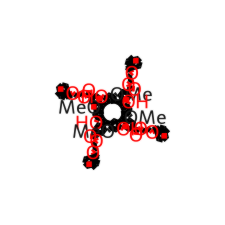 COc1cc(O)c2cc1C(c1ccc(C(=O)OCCOC3(C)C4CC5CC3CC(C)(C5)C4)cc1)c1cc(c(OC)cc1O)C(c1ccc(C(=O)OCCOC3(C)C4CC5CC3CC(C)(C5)C4)cc1)c1cc(c(OC)cc1O)C(c1ccc(C(=O)OCCOC3(C)C4CC5CC3CC(C)(C5)C4)cc1)c1cc(c(OC)cc1O)C2c1ccc(C(=O)OCCOC2(C)C3CC4CC2CC(C)(C4)C3)cc1